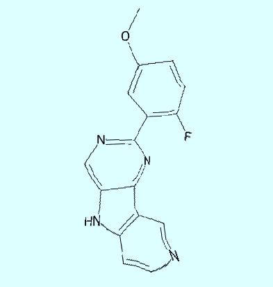 COc1ccc(F)c(-c2ncc3[nH]c4ccncc4c3n2)c1